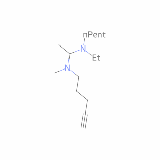 C#CCCCN(C)C(C)N(CC)CCCCC